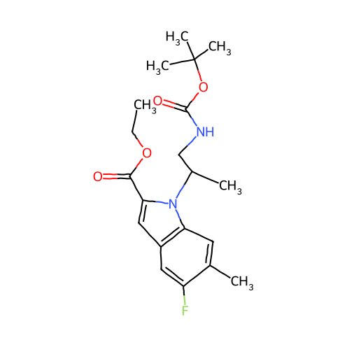 CCOC(=O)c1cc2cc(F)c(C)cc2n1C(C)CNC(=O)OC(C)(C)C